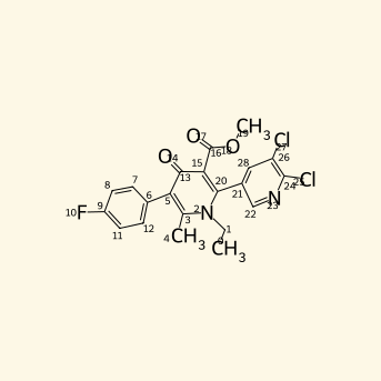 CCn1c(C)c(-c2ccc(F)cc2)c(=O)c(C(=O)OC)c1-c1cnc(Cl)c(Cl)c1